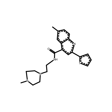 Cc1ccc2nc(-c3cccs3)cc(C(=O)NCCN3CCN(C)CC3)c2c1